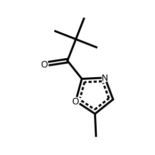 Cc1cnc(C(=O)C(C)(C)C)o1